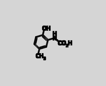 Cc1ccc(O)c(NC(=O)O)c1